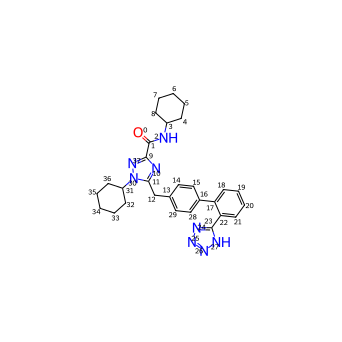 O=C(NC1CCCCC1)c1nc(Cc2ccc(-c3ccccc3-c3nnn[nH]3)cc2)n(C2CCCCC2)n1